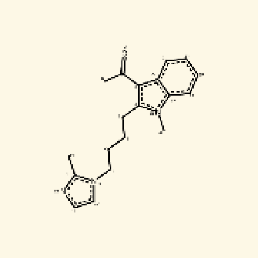 CC(=O)c1c(CCCCn2ccnc2C)n(C)c2ccccc12